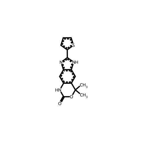 CC1(C)OC(=O)Nc2cc3nc(-c4cccs4)[nH]c3cc21